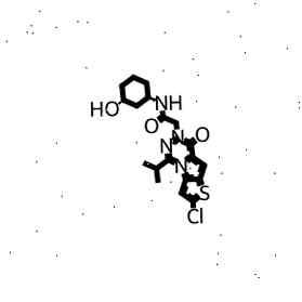 CC(C)c1nn(CC(=O)N[C@@H]2CCC[C@@H](O)C2)c(=O)c2cc3sc(Cl)cc3n12